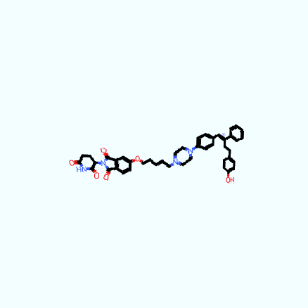 O=C1CCC(N2C(=O)c3ccc(OCCCCCN4CCN(c5ccc(/C=C(\CCc6ccc(O)cc6)c6ccccc6)cc5)CC4)cc3C2=O)C(=O)N1